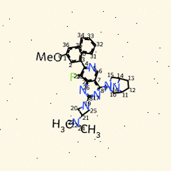 COc1cc(-c2ncc3c(N4CC5CCC(C4)N5)nc(N4CC(N(C)C)C4)nc3c2F)c2ccccc2c1